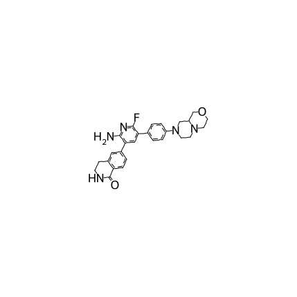 Nc1nc(F)c(-c2ccc(N3CCN4CCOCC4C3)cc2)cc1-c1ccc2c(c1)CCNC2=O